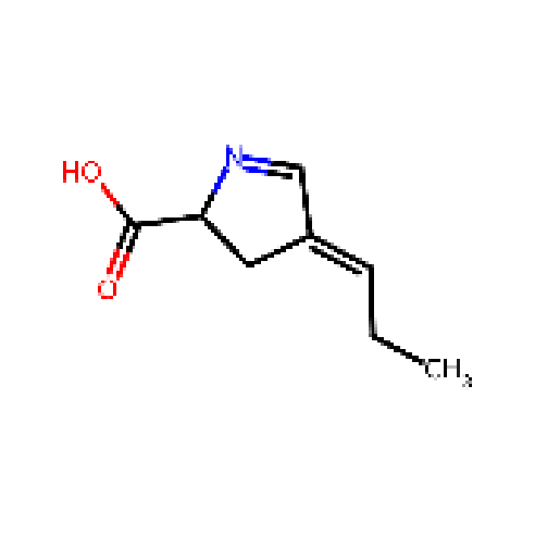 CCC=C1C=NC(C(=O)O)C1